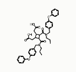 CCCN(Cc1ccc(Oc2ccccc2)cc1)C(=O)C1C(CC(=O)O)C(CC(=O)O)C1C(=O)N(CCC)Cc1ccc(Oc2ccccc2)cc1